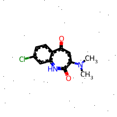 CN(C)c1cc(=O)c2ccc(Cl)cc2[nH]c1=O